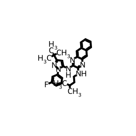 CC(C)CCNc1nc2cc3ccccc3cc2nc1Nc1cc(C(C)(C)C)nn1-c1cccc(F)c1